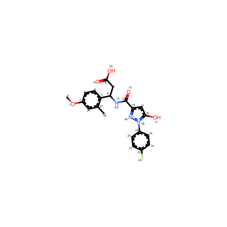 COc1ccc(C(CC(=O)O)NC(=O)c2cc(O)n(-c3ccc(F)cc3)n2)c(C)c1